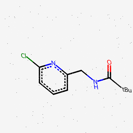 CC(C)(C)C(=O)NCc1cccc(Cl)n1